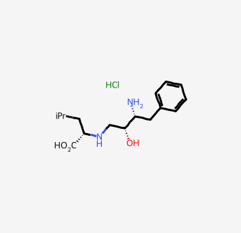 CC(C)C[C@H](NC[C@@H](O)[C@H](N)Cc1ccccc1)C(=O)O.Cl